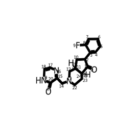 O=C1C(c2ccccc2F)C[C@@H]2CN(Cc3ncc[nH]c3=O)CC[C@H]12